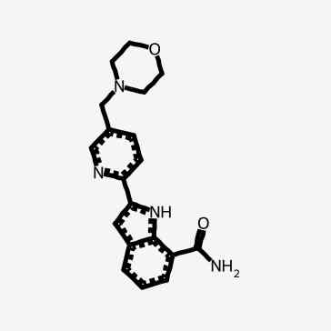 NC(=O)c1cccc2cc(-c3ccc(CN4CCOCC4)cn3)[nH]c12